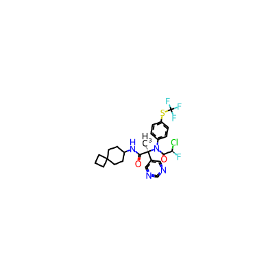 C[C@@](C(=O)NC1CCC2(CCC2)CC1)(c1cncnc1)N(C(=O)[C@H](F)Cl)c1ccc(SC(F)(F)F)cc1